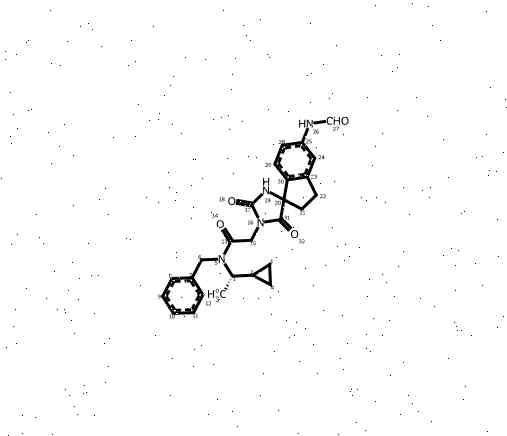 C[C@@H](C1CC1)N(Cc1ccccc1)C(=O)CN1C(=O)NC2(CCc3cc(NC=O)ccc32)C1=O